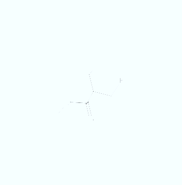 COC(=O)[C](CF)CF